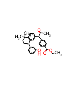 CCOC(=O)c1ccc(C(C(C)=O)c2ccc3c(c2)C(c2cccc(O)c2)=CCC3(C)C)cc1